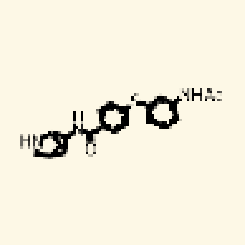 CC(=O)Nc1cccc(Sc2ccc(C(=O)NC3CC4CNC3C4)cc2)c1